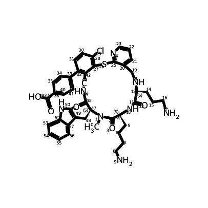 CN1C(=O)[C@H](CCCCN)NC(=O)[C@H](CCCN)NCc2cccnc2Sc2c(Cl)ccc(-c3ccc(C(=O)O)cc3)c2CNC(=O)[C@@H]1Cc1c[nH]c2ccccc12